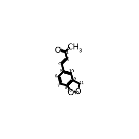 CC(=O)C=Cc1ccc2c(c1)COO2